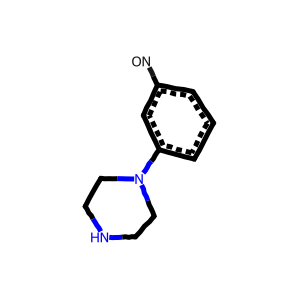 O=Nc1cccc(N2CCNCC2)c1